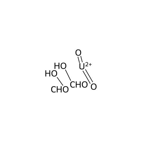 O=[C-]O.O=[C-]O.[O]=[U+2]=[O]